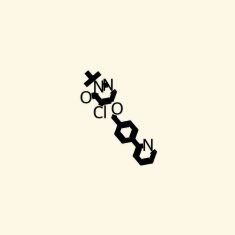 CC(C)(C)n1ncc(OCc2ccc(-c3ccccn3)cc2)c(Cl)c1=O